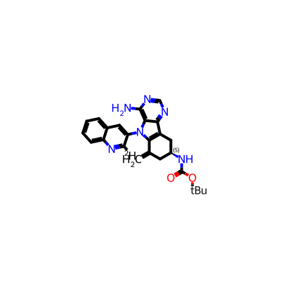 [2H]c1nc2ccccc2cc1-n1c2c(c3ncnc(N)c31)C[C@@H](NC(=O)OC(C)(C)C)CC2=C